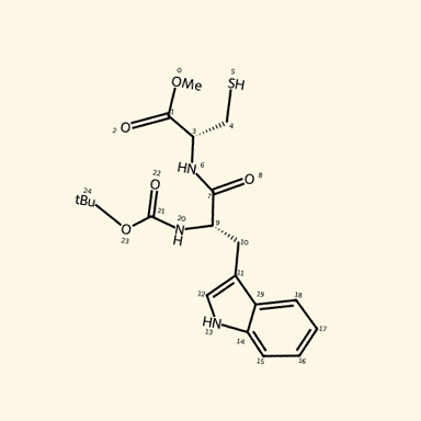 COC(=O)[C@H](CS)NC(=O)[C@H](Cc1c[nH]c2ccccc12)NC(=O)OC(C)(C)C